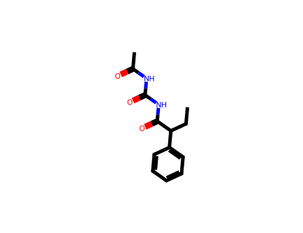 CCC(C(=O)NC(=O)NC(C)=O)c1ccccc1